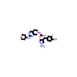 Cn1cc([C@H](NC(=O)ON2CCc3cnc(NC4CCOCC4)nc3C2)c2ccc(C#N)c(F)c2)cn1